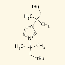 CC(C)(C)CC(C)(C)n1cc[n+](C(C)(C)CC(C)(C)C)c1